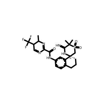 CC1N=C(C(=O)Nc2ccc3c(c2)[C@]2(CCC3)CS(=O)(=O)C(C)(C)C(=N)N2)N=CC1C(F)(F)F